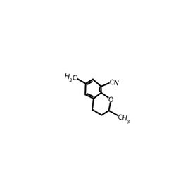 Cc1cc(C#N)c2c(c1)CCC(C)O2